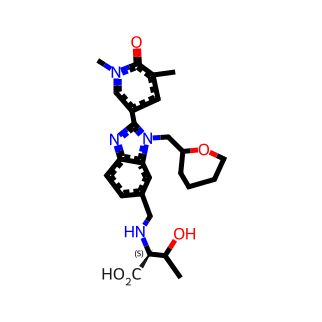 Cc1cc(-c2nc3ccc(CN[C@H](C(=O)O)C(C)O)cc3n2CC2CCCCO2)cn(C)c1=O